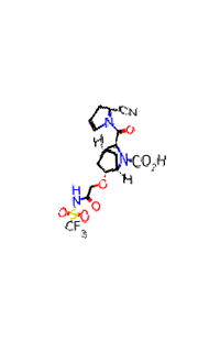 N#C[C@@H]1CCCN1C(=O)[C@@H]1[C@H]2C[C@H]([C@H](OCC(=O)NS(=O)(=O)C(F)(F)F)C2)N1C(=O)O